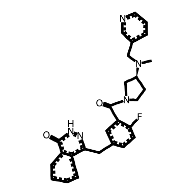 CN(Cc1cccnc1)[C@H]1CCN(C(=O)c2cc(Cc3n[nH]c(=O)c4ccccc34)ccc2F)C1